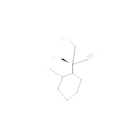 N[C@](C=O)(CO)C1CCCCC1O